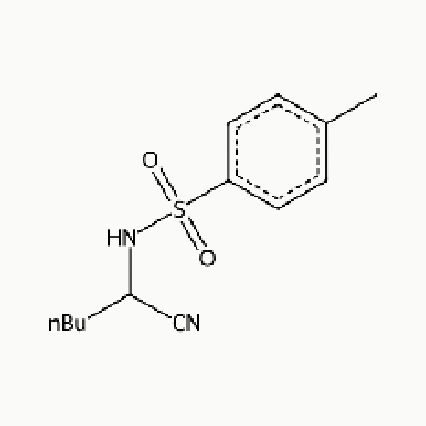 CCCCC(C#N)NS(=O)(=O)c1ccc(C)cc1